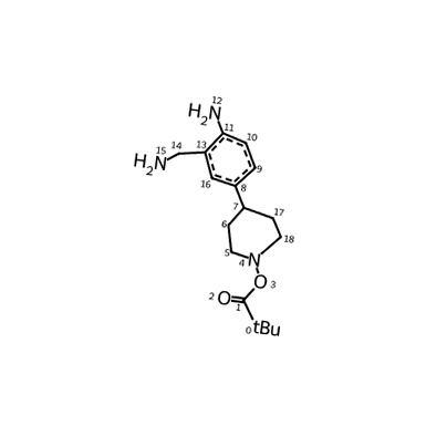 CC(C)(C)C(=O)ON1CCC(c2ccc(N)c(CN)c2)CC1